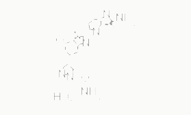 CCC(C(N)=O)n1cc(-c2cc3c4c(c2)nc(-c2ccc5nc(N)sc5n2)n4CCCCO3)cn1